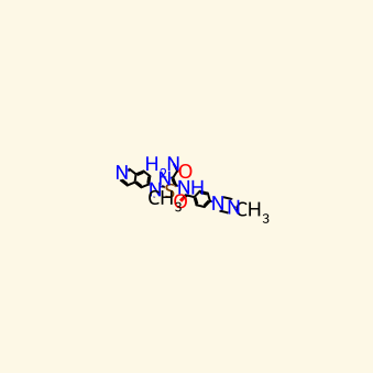 CN1CCN(c2ccc(C(=O)Nc3sc(N(C)c4ccc5cnccc5c4)nc3C(N)=O)cc2)CC1